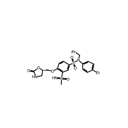 CCc1ccc(N(CC(C)C)S(=O)(=O)c2ccc(OC[C@H]3CNC(=O)O3)c(S(C)(=N)=O)c2)cc1